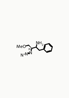 COC[C@H](N=[N+]=[N-])C(N)Cc1ccccc1